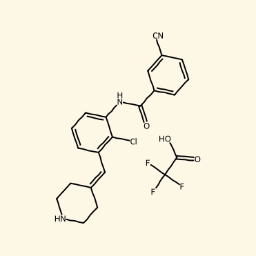 N#Cc1cccc(C(=O)Nc2cccc(C=C3CCNCC3)c2Cl)c1.O=C(O)C(F)(F)F